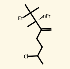 C=C(CCC(C)Cl)[C@](C)(CCC)C(C)(C)CC